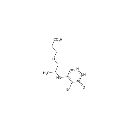 CC(COCCC(=O)O)Nc1cn[nH]c(=O)c1Br